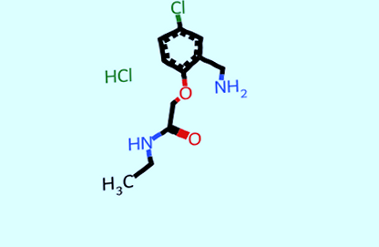 CCNC(=O)COc1ccc(Cl)cc1CN.Cl